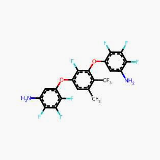 Nc1cc(Oc2cc(C(F)(F)F)c(C(F)(F)F)c(Oc3cc(N)c(F)c(F)c3F)c2F)c(F)c(F)c1F